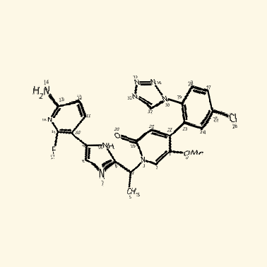 COc1cn(C(C)c2ncc(-c3ccc(N)nc3F)[nH]2)c(=O)cc1-c1cc(Cl)ccc1-n1cnnn1